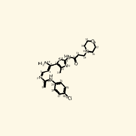 C=C(/N=C\C=C(/N)c1sc(NC(=O)CCN2CCOCC2)nc1C)Nc1ccc(Cl)cc1